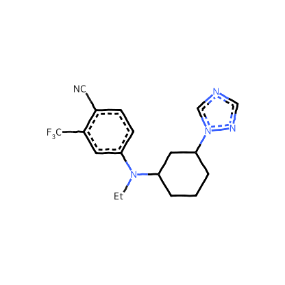 CCN(c1ccc(C#N)c(C(F)(F)F)c1)C1CCCC(n2cncn2)C1